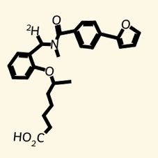 [2H]C(c1ccccc1OC(C)CCCCC(=O)O)N(C)C(=O)c1ccc(-c2ccco2)cc1